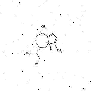 CC1=CC=C2[C@H]1C[C@H](C(C)CO)CC[C@@H]2C